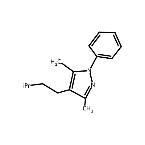 Cc1nn(-c2ccccc2)c(C)c1CCC(C)C